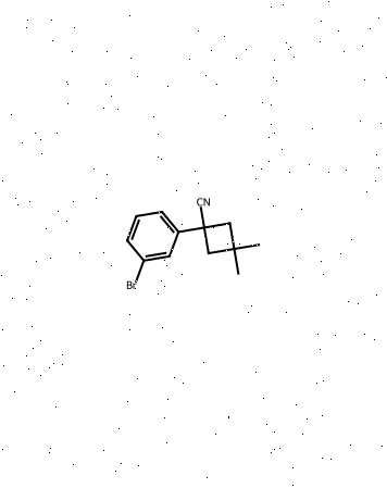 CC1(C)CC(C#N)(c2cccc(Br)c2)C1